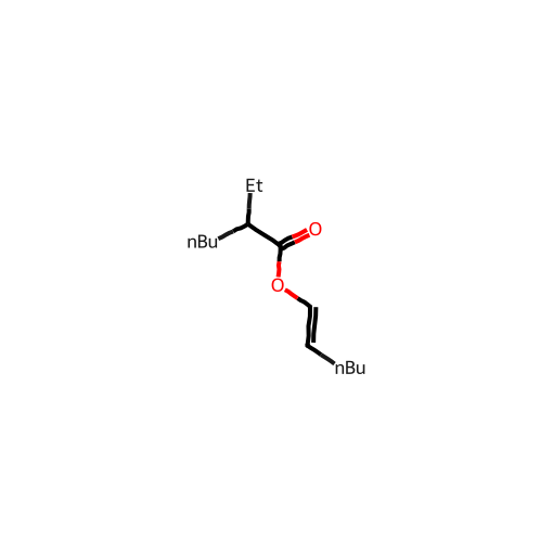 CCCCC=COC(=O)C(CC)CCCC